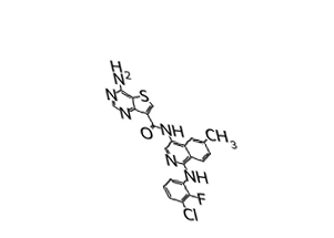 Cc1ccc2c(Nc3cccc(Cl)c3F)ncc(NC(=O)c3csc4c(N)ncnc34)c2c1